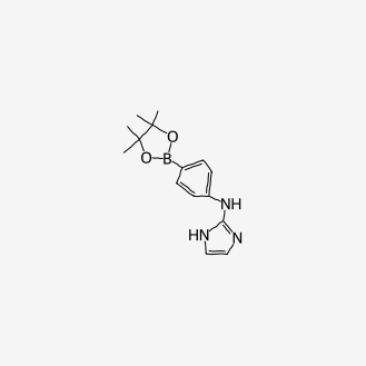 CC1(C)OB(c2ccc(Nc3ncc[nH]3)cc2)OC1(C)C